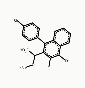 CCCCOC(C(=O)O)c1c(C)c(CC)c2ccccc2c1-c1ccc(Cl)cc1